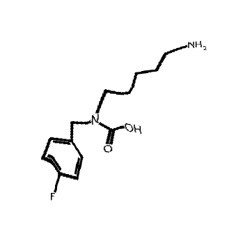 NCCCCCN(Cc1ccc(F)cc1)C(=O)O